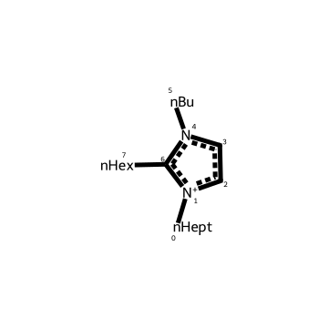 CCCCCCC[n+]1ccn(CCCC)c1CCCCCC